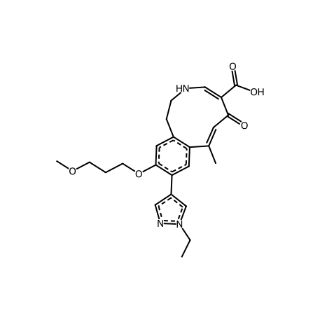 CCn1cc(-c2cc3c(cc2OCCCOC)CCN/C=C(/C(=O)O)C(=O)/C=C/3C)cn1